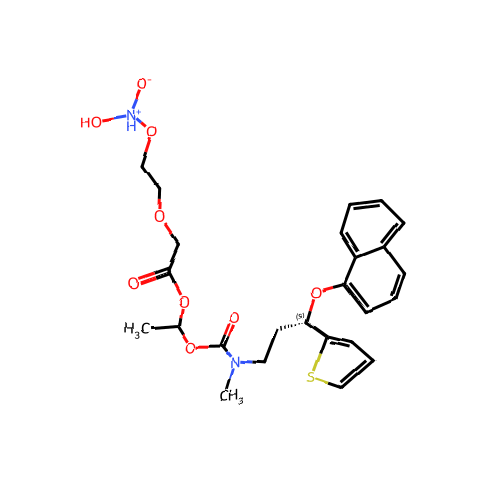 CC(OC(=O)COCCO[NH+]([O-])O)OC(=O)N(C)CC[C@H](Oc1cccc2ccccc12)c1cccs1